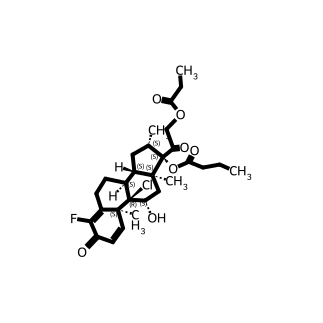 CCCC(=O)O[C@@]1(C(=O)COC(=O)CC)[C@@H](C)C[C@H]2[C@@H]3CCC4=C(F)C(=O)C=C[C@]4(C)[C@@]3(Cl)[C@@H](O)C[C@@]21C